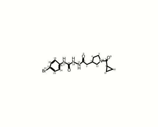 O=C(CC1CCN(C(=O)C2CC2)C1)NNC(=O)Nc1ccc(Br)cc1